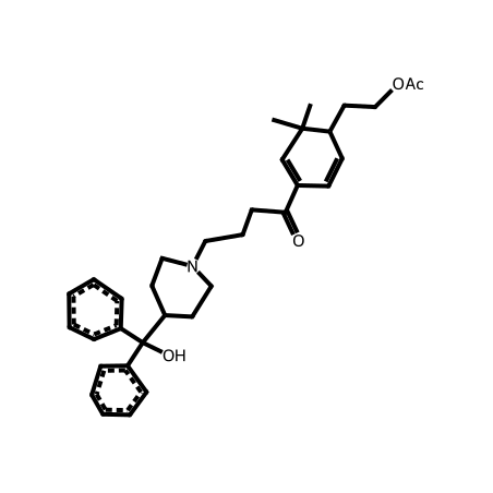 CC(=O)OCCC1C=CC(C(=O)CCCN2CCC(C(O)(c3ccccc3)c3ccccc3)CC2)=CC1(C)C